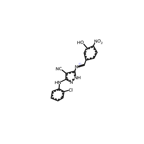 N#Cc1c(Nc2ccccc2Cl)n[nH]c1/N=C/c1ccc([N+](=O)[O-])c(O)c1